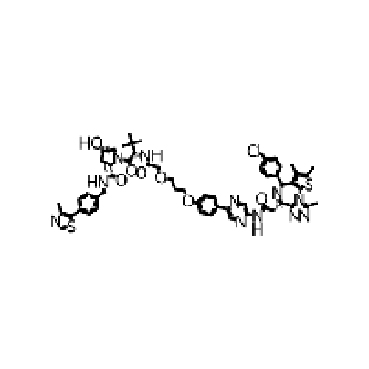 Cc1ncsc1-c1ccc(CNC(=O)[C@@H]2C[C@@H](O)CN2C(=O)[C@@H](NC(=O)COCCCOc2ccc(-c3cnc(NC(=O)C[C@@H]4N=C(c5ccc(Cl)cc5)c5c(sc(C)c5C)-n5c(C)nnc54)cn3)cc2)C(C)(C)C)cc1